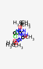 COc1ccc(N2CCN(C(=O)OC(C)(C)C)CC2)cc1Nc1nc(Cc2c(Cl)cccc2Cl)c2ncn(COCC[Si](C)(C)C)c2c1C#N